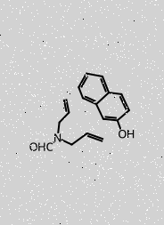 C=CCN(C=O)CC=C.Oc1ccc2ccccc2c1